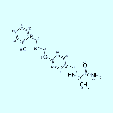 CC(NCc1ccc(OCCCc2ccccc2Cl)cc1)C(N)=O